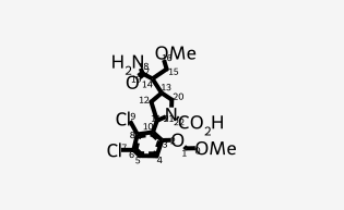 COCOc1ccc(Cl)c(Cl)c1C1CC(C(COC)C(N)=O)CN1C(=O)O